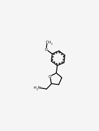 COc1cccc(C2CCC(CN)O2)c1